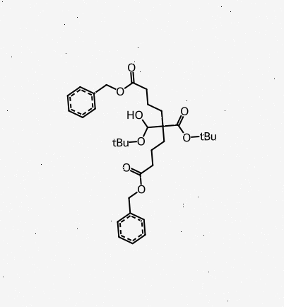 CC(C)(C)OC(=O)C(CCCC(=O)OCc1ccccc1)(CCCC(=O)OCc1ccccc1)C(O)OC(C)(C)C